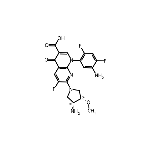 CO[C@H]1CN(c2nc3c(cc2F)c(=O)c(C(=O)O)cn3-c2cc(N)c(F)cc2F)C[C@H]1N